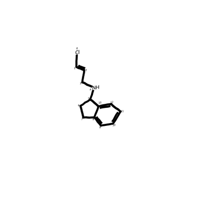 Cl/C=C/CNC1CCc2ccccc21